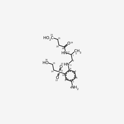 CC(CNc1ccc(N)cc1S(=O)(=O)CCO)NC(=O)CCC(=O)O